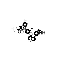 NC(=O)C1(C(=O)N(c2ccc(F)cc2)c2ccc(Oc3ccnn4ccc(-c5ccc6cc[nH]c6c5)c34)c(F)c2)CC1